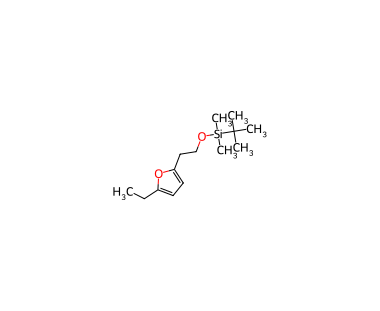 CCc1ccc(CCO[Si](C)(C)C(C)(C)C)o1